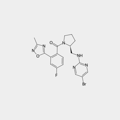 Cc1noc(-c2cc(F)ccc2C(=O)N2CCC[C@H]2CNc2ncc(Br)cn2)n1